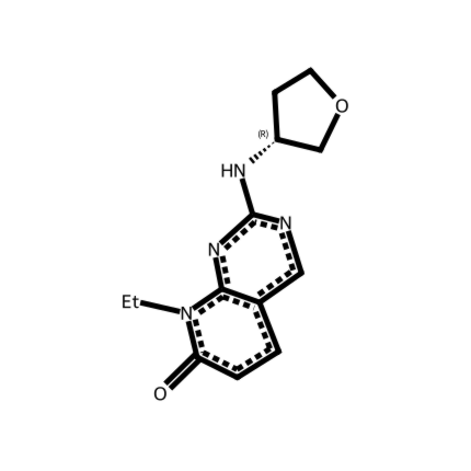 CCn1c(=O)ccc2cnc(N[C@@H]3CCOC3)nc21